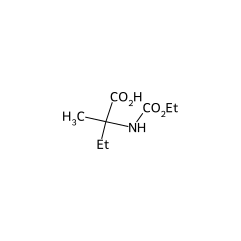 CCOC(=O)NC(C)(CC)C(=O)O